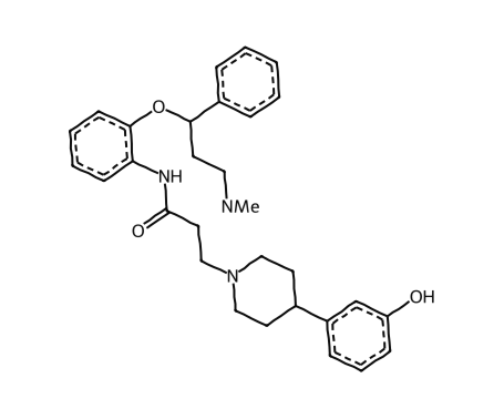 CNCCC(Oc1ccccc1NC(=O)CCN1CCC(c2cccc(O)c2)CC1)c1ccccc1